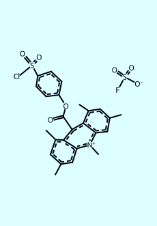 Cc1cc(C)c2c(C(=O)Oc3ccc(S(=O)(=O)Cl)cc3)c3c(C)cc(C)cc3[n+](C)c2c1.O=S(=O)([O-])F